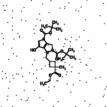 CCOC(=O)C1(C)CC(CN2c3c(O)cn(C(=O)OC(C)(C)C)c3CN2C(=O)OC(C)(C)C)C1